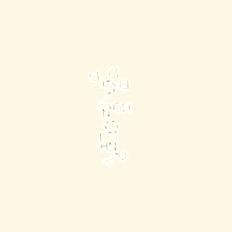 O=C(NCc1ccc(N2CCC(c3cc(Cl)c(Cl)c(Cl)c3)[C@@H]2O)cc1F)C1CC1